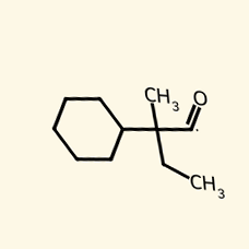 CCC(C)([C]=O)C1CCCCC1